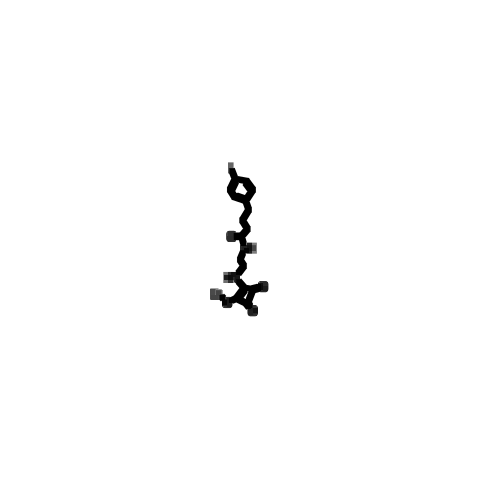 CCOc1c(NCCNC(=O)CCCc2ccc(I)cc2)c(=O)c1=O